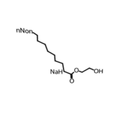 CCCCCCCCCCCCCCCCCC(=O)OCCO.[NaH]